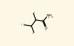 CC(I)C(C)C(N)=O